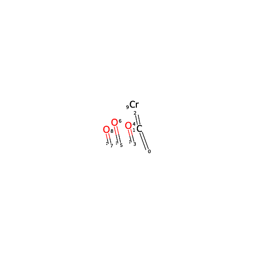 C=C=C.[C]=O.[C]=O.[C]=O.[Cr]